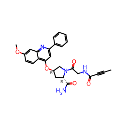 CC#CC(=O)NCC(=O)N1C[C@H](Oc2cc(-c3ccccc3)nc3cc(OC)ccc23)C[C@H]1C(N)=O